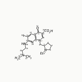 CCN1CCCC1Cn1cc(C(=O)O)c(=O)c2cc(I)c(NCCN(C)C)nc21